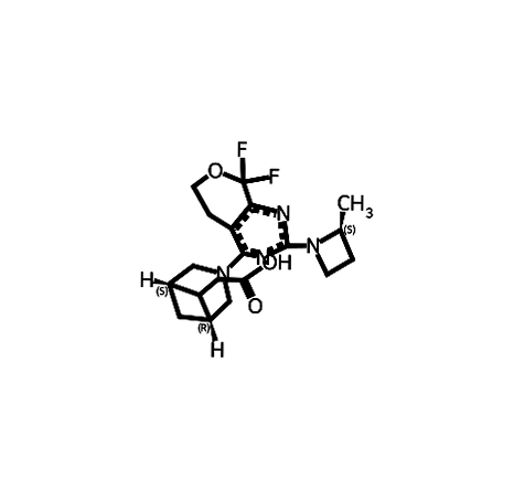 C[C@H]1CCN1c1nc(N2C[C@H]3C[C@@H](C2)C3CC(=O)O)c2c(n1)C(F)(F)OCC2